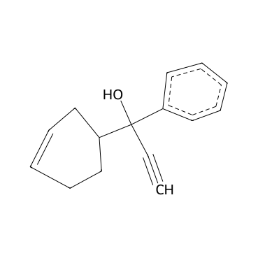 C#CC(O)(c1ccccc1)C1CC=CCC1